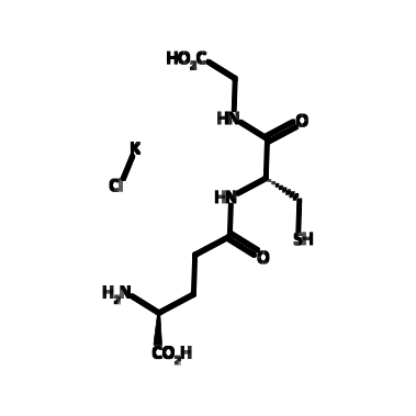 N[C@@H](CCC(=O)N[C@@H](CS)C(=O)NCC(=O)O)C(=O)O.[Cl][K]